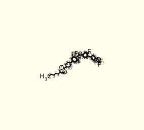 CCCCCC1COC(C2CCC(c3cc(F)c(C(F)(F)Oc4ccc(-c5ccc(OC(F)(F)F)cc5)c(F)c4)c(F)c3)CC2)OC1